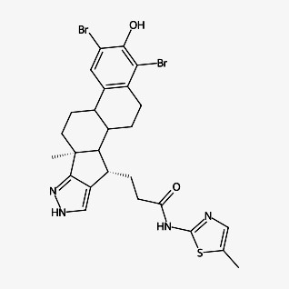 Cc1cnc(NC(=O)CC[C@@H]2c3c[nH]nc3[C@@]3(C)CCC4c5cc(Br)c(O)c(Br)c5CCC4C23)s1